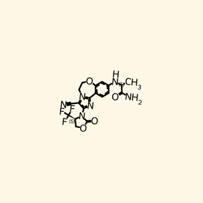 C[C@H](Nc1ccc2c(c1)OCCn1c-2nc(N2C(=O)OC[C@H]2C(F)(F)F)c1C#N)C(N)=O